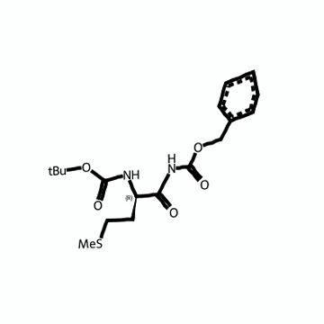 CSCC[C@@H](NC(=O)OC(C)(C)C)C(=O)NC(=O)OCc1ccccc1